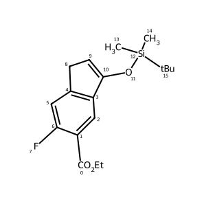 CCOC(=O)c1cc2c(cc1F)CC=C2O[Si](C)(C)C(C)(C)C